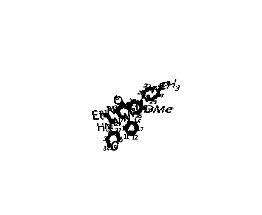 CCc1nc(C(N)=O)c(N(c2ccccc2)N2CCC(N3CCN(C)CC3)C(OC)C2)nc1NC1CCOCC1